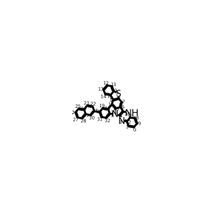 C1=CC2=Nc3c(c4cc5sc6ccccc6c5c5c6cc(-c7ccc8ccccc8c7)ccc6n3c45)NC2C=C1